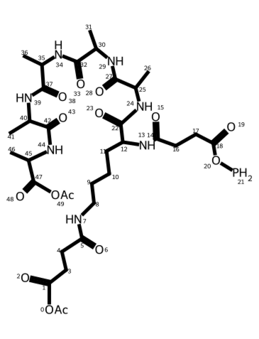 CC(=O)OC(=O)CCC(=O)NCCCCC(NC(=O)CCC(=O)OP)C(=O)NC(C)C(=O)NC(C)C(=O)NC(C)C(=O)NC(C)C(=O)NC(C)C(=O)OC(C)=O